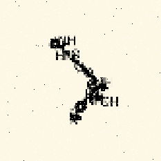 Cc1ncsc1-c1ccc(CNC(=O)[C@@H]2C[C@@H](O)CN2C(=O)[C@@H](NC(=O)CCOCCOCCC(=O)NCCc2c[nH]c3ccccc23)C(C)(C)C)cc1